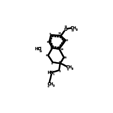 CNCC1(C)CCc2ccc(OC)cc2C1.Cl